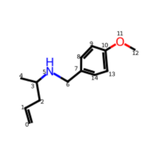 C=CCC(C)NCc1ccc(OC)cc1